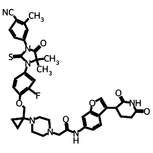 Cc1cc(N2C(=O)C(C)(C)N(c3ccc(OCC4(N5CCN(CC(=O)Nc6ccc7c(C8CCC(=O)NC8=O)coc7c6)CC5)CC4)c(F)c3)C2=S)ccc1C#N